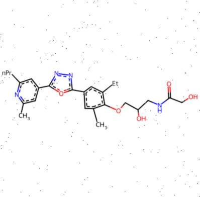 CCCc1cc(-c2nnc(-c3cc(C)c(OCC(O)CNC(=O)CO)c(CC)c3)o2)cc(C)n1